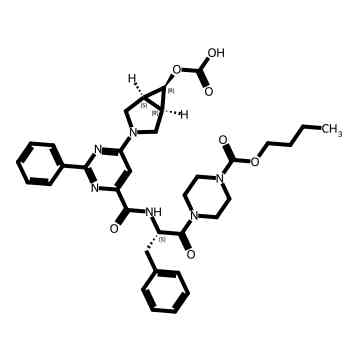 CCCCOC(=O)N1CCN(C(=O)[C@H](Cc2ccccc2)NC(=O)c2cc(N3C[C@@H]4[C@H](C3)[C@@H]4OC(=O)O)nc(-c3ccccc3)n2)CC1